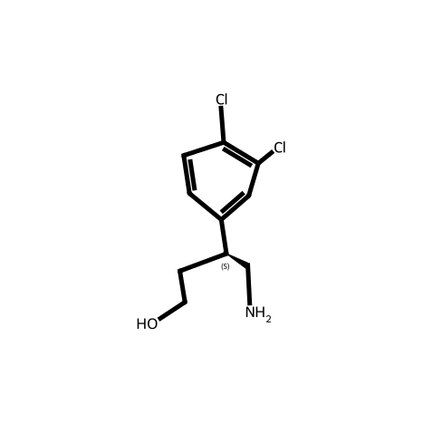 NC[C@@H](CCO)c1ccc(Cl)c(Cl)c1